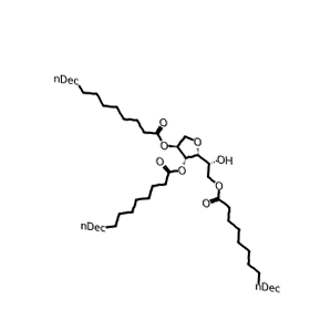 CCCCCCCCCCCCCCCCCC(=O)OC[C@@H](O)[C@H]1OC[C@H](OC(=O)CCCCCCCCCCCCCCCCC)[C@H]1OC(=O)CCCCCCCCCCCCCCCCC